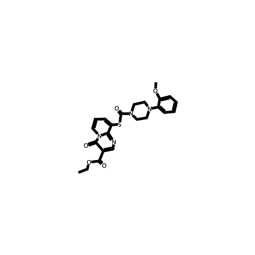 CCOC(=O)c1cnc2c(SC(=O)N3CCN(c4ccccc4OC)CC3)cccn2c1=O